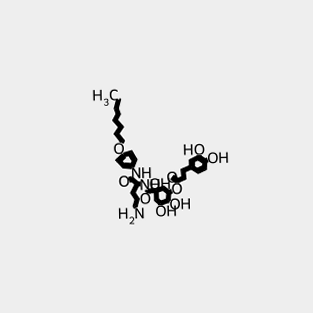 CCCCCCCCOc1ccc(NC(=O)C(CCCN)NC(=O)C2(O)CC(O)C(O)C(OC(=O)CCc3ccc(O)c(O)c3)C2)cc1